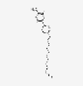 CCCCCCCCCCCc1ccc(-c2cc(F)c(C)c(F)c2F)cc1